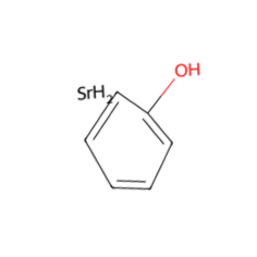 Oc1ccccc1.[SrH2]